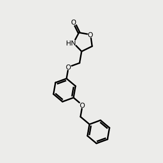 O=C1NC(COc2cccc(OCc3ccccc3)c2)CO1